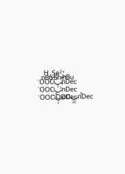 CCCCCCCCCCCC(=O)[O-].CCCCCCCCCCCC(=O)[O-].CCCCCCCCCCCC(=O)[O-].CCCCCCCCCCCC(=O)[O-].CCC[CH2][Sn+2][CH2]CCC.[SeH4+2]